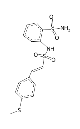 CSc1ccc(C=CS(=O)(=O)Nc2ccccc2S(N)(=O)=O)cc1